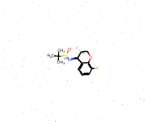 CC(C)(C)[S@@+]([O-])N=C1c2cccc(F)c2OC[C@H]1F